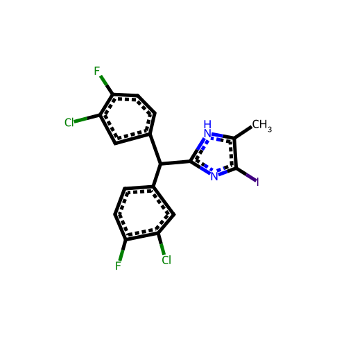 Cc1[nH]c(C(c2ccc(F)c(Cl)c2)c2ccc(F)c(Cl)c2)nc1I